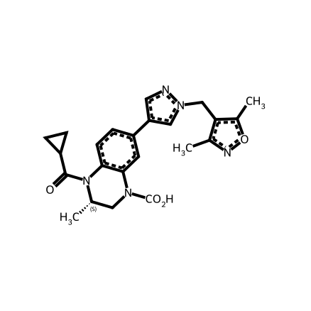 Cc1noc(C)c1Cn1cc(-c2ccc3c(c2)N(C(=O)O)C[C@H](C)N3C(=O)C2CC2)cn1